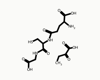 CCC(=O)C(=O)O.NC(CCC(=O)NC(CS)C(=O)NCC(=O)O)C(=O)O